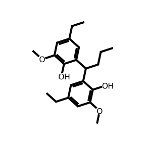 CCCC(c1cc(CC)cc(OC)c1O)c1cc(CC)cc(OC)c1O